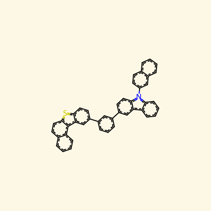 c1cc(-c2ccc3sc4ccc5ccccc5c4c3c2)cc(-c2ccc3c(c2)c2ccccc2n3-c2ccc3ccccc3c2)c1